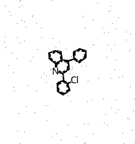 Clc1ccccc1-c1cc(-c2ccccc2)c2ccccc2n1